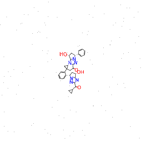 O=C(CC1(c2ccccc2[C@@H]2C[C@H](O)c3nc(C(=O)C4CC4)nn32)CC1)c1nc2n(n1)[C@@H](c1ccccc1)C[C@H]2O